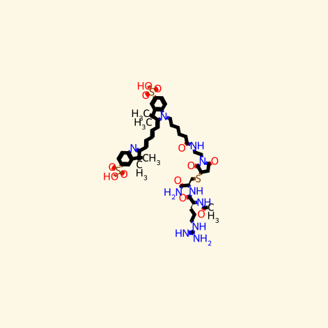 CC(=O)N[C@H](CCCNC(=N)N)C(=O)N[C@H](CSC1CC(=O)N(CCNC(=O)CCCCCN2/C(=C/C=C/C=C/C3=Nc4ccc(S(=O)(=O)O)cc4C3(C)C)C(C)(C)c3cc(S(=O)(=O)O)ccc32)C1=O)C(N)=O